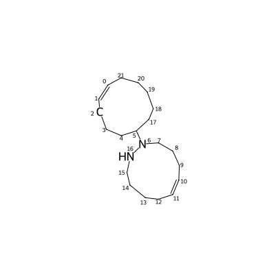 C1=CCCCC(N2CCCC=CCCCCN2)CCCCC1